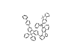 CC1(C)c2ccccc2-c2ccc(N(c3ccccc3)c3cc4c(oc5cccc(-c6ccc7c(c6)C(c6ccccc6)(c6ccccc6)c6ccc(-c8ccc(-c9ccccc9)cc8)cc6-7)c54)c4ccccc34)cc21